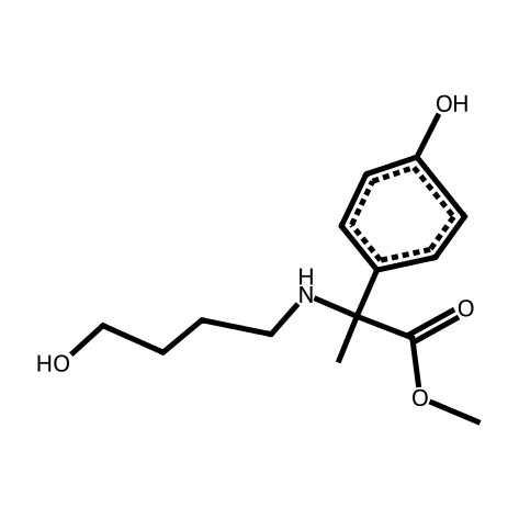 COC(=O)C(C)(NCCCCO)c1ccc(O)cc1